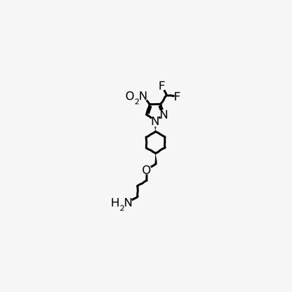 NCCCOC[C@H]1CC[C@H](n2cc([N+](=O)[O-])c(C(F)F)n2)CC1